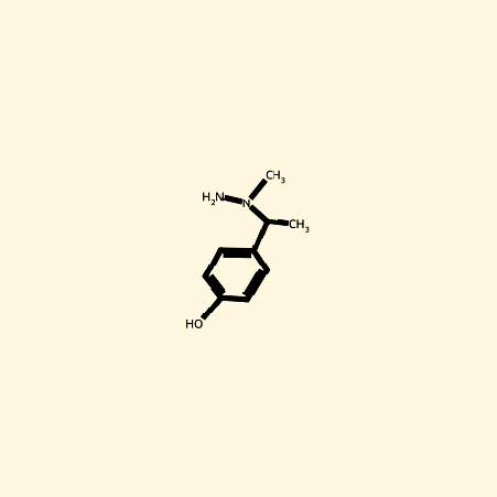 CC(c1ccc(O)cc1)N(C)N